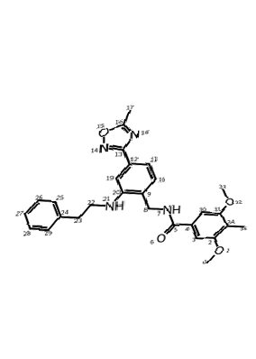 COc1cc(C(=O)NCc2ccc(-c3noc(C)n3)cc2NCCc2ccccc2)cc(OC)c1C